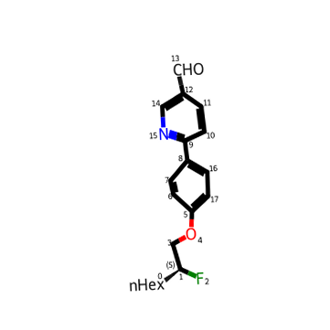 CCCCCC[C@H](F)COc1ccc(-c2ccc(C=O)cn2)cc1